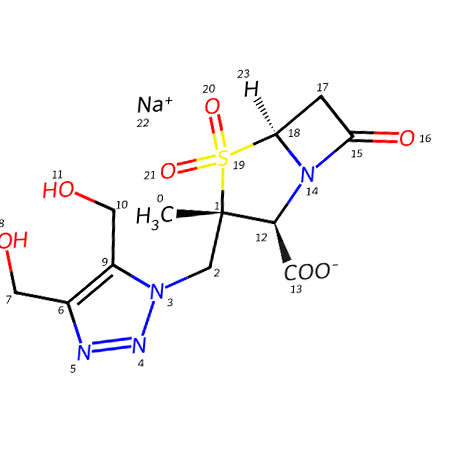 C[C@]1(Cn2nnc(CO)c2CO)[C@H](C(=O)[O-])N2C(=O)C[C@@H]2S1(=O)=O.[Na+]